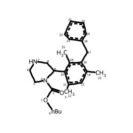 CCCCOC(=O)N1CCNCC1c1c(C)cc(C)c(Cc2ccccc2)c1C